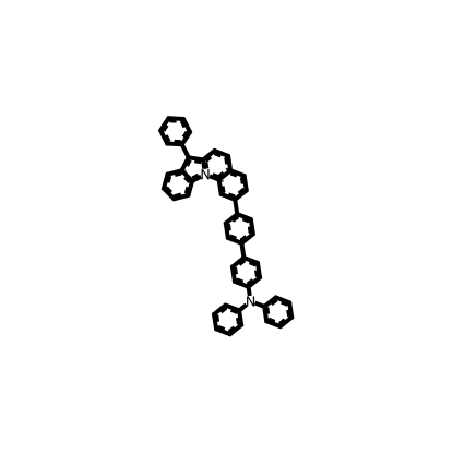 c1ccc(-c2c3ccccc3n3c2ccc2ccc(-c4ccc(-c5ccc(N(c6ccccc6)c6ccccc6)cc5)cc4)cc23)cc1